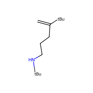 C=C(CCCNC(C)(C)C)C(C)(C)C